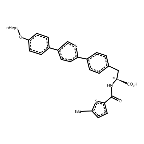 CCCCCCCOc1ccc(-c2ccc(-c3ccc(C[C@H](NC(=O)c4ccc(C(C)(C)C)s4)C(=O)O)cc3)nc2)cc1